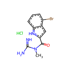 CN(C(=N)N)C(=O)c1cc2c(Br)cccc2[nH]1.Cl